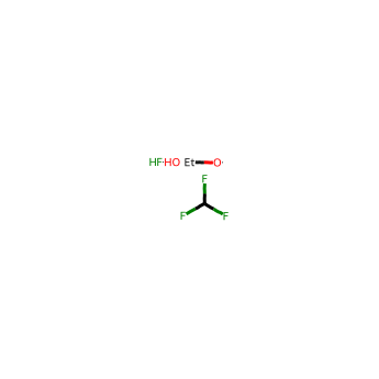 CC[O].F.FC(F)F.[OH]